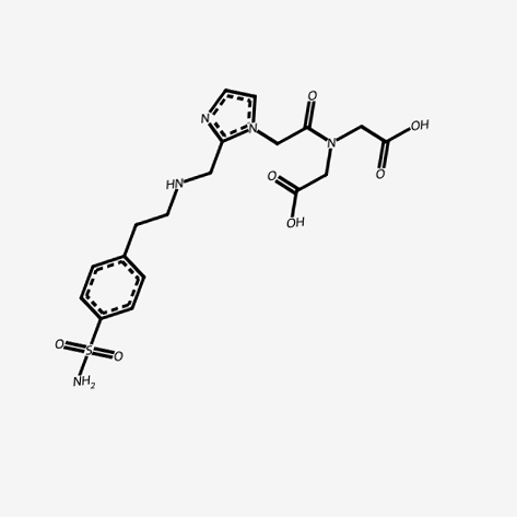 NS(=O)(=O)c1ccc(CCNCc2nccn2CC(=O)N(CC(=O)O)CC(=O)O)cc1